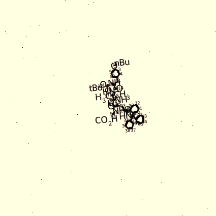 CCCCOc1ccc(C[C@H](NC(=O)OC(C)(C)C)C(=O)NC(C)(C)C(=O)N[C@@H](CCC(=O)NC(c2ccccc2)(c2ccccc2)c2ccccc2)C(=O)NCC(=O)O)cc1